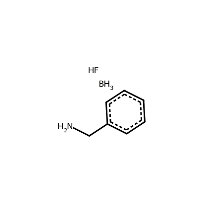 B.F.NCc1ccccc1